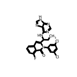 CCC(Nc1ncnc2[nH]cnc12)c1cc2cccc(F)c2c(=O)n1-c1cc(Cl)cc(Cl)c1